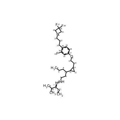 C=N/C(=N\NCCC(CCC)C1CC1CCOc1ccc(CCCN2CC(F)(F)C2)c(F)c1)C(C)C